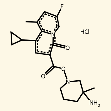 Cc1cc(F)cn2c(=O)c(C(=O)ON3CCCC(C)(N)C3)cc(C3CC3)c12.Cl